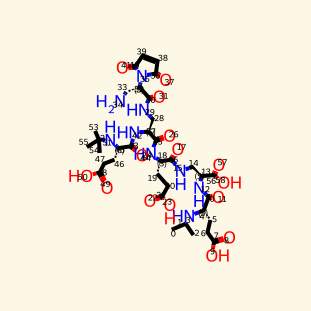 CC(C)N[C@@H](CCC(=O)O)C(=O)N[C@@H](CNC(=O)[C@H](CCC(=O)O)NC(=O)[C@H](CNC(=O)[C@H](CN)N1C(=O)C=CC1=O)NC(=O)[C@H](CCC(=O)O)NC(C)(C)C)C(=O)O